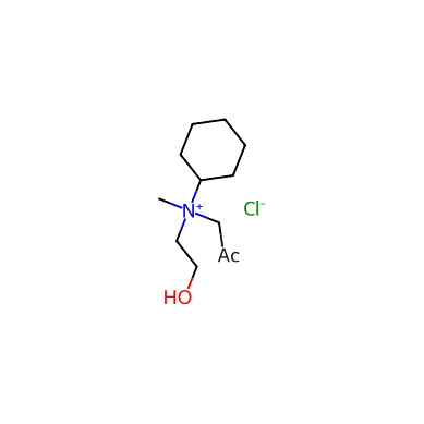 CC(=O)C[N+](C)(CCO)C1CCCCC1.[Cl-]